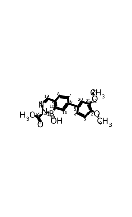 COc1ccc(-c2ccc3c(c2)B(O)N(C(C)=O)N=C3)cc1OC